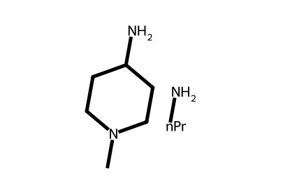 CCCN.CN1CCC(N)CC1